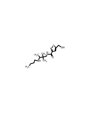 CCCCNC(C)C(C)(C)CNC(=O)c1cc(CO)on1